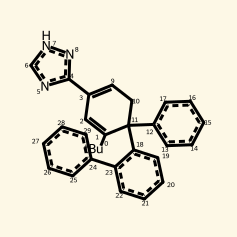 CC(C)(C)C1=CC(c2nc[nH]n2)=CCC1(c1ccccc1)c1ccccc1-c1ccccc1